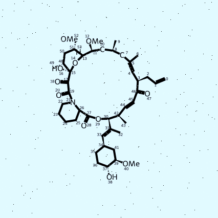 C=CC[C@@H]1/C=C(\C)C[C@H](C)C[C@H](OC)[C@H]2O[C@@](O)(C(=O)C(=O)N3CCCCC3C(=O)O[C@H](/C(C)=C/[C@@H]3CC[C@@H](O)[C@H](OC)C3)[C@H](C)/C=C/C1=O)[C@H](C)C[C@@H]2OC